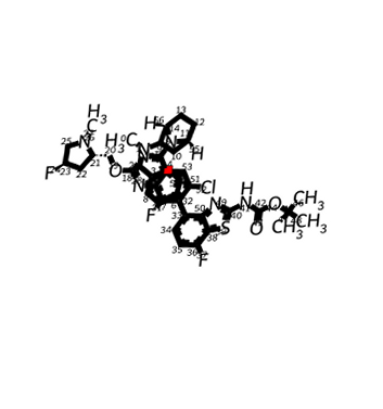 CN(Cc1ccccc1)C1C[C@H]2CC[C@@H]1N2c1nc(OC[C@@H]2C[C@@H](F)CN2C)nc2c(F)c(-c3ccc(F)c4sc(NC(=O)OC(C)(C)C)nc34)c(Cl)cc12